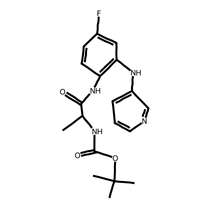 CC(NC(=O)OC(C)(C)C)C(=O)Nc1ccc(F)cc1Nc1cccnc1